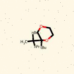 CCCCC(C)(CCC)C1(C(C)(C)C)COCCO1